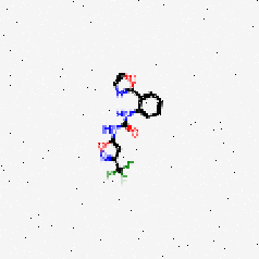 O=C(Nc1cc(C(F)(F)F)no1)Nc1ccccc1-c1ncco1